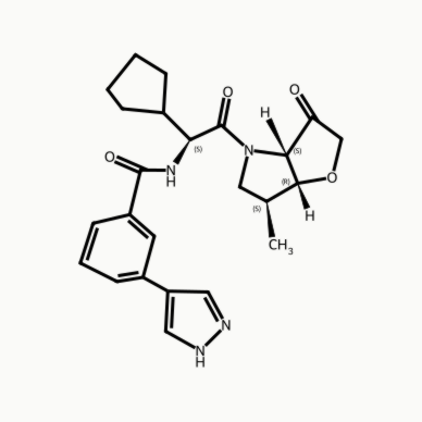 C[C@H]1CN(C(=O)[C@@H](NC(=O)c2cccc(-c3cn[nH]c3)c2)C2CCCC2)[C@@H]2C(=O)CO[C@@H]21